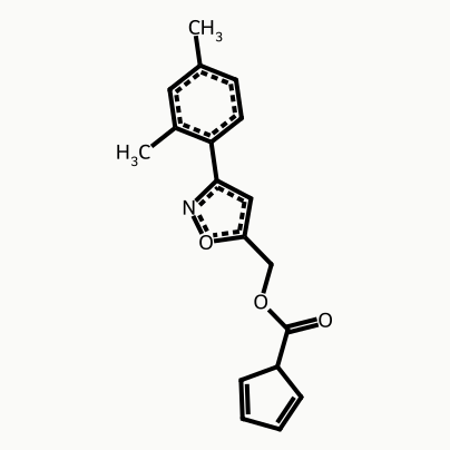 Cc1ccc(-c2cc(COC(=O)C3C=CC=C3)on2)c(C)c1